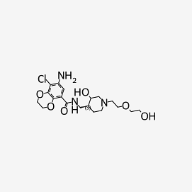 Nc1cc(C(=O)NC[C@@H]2CCN(CCOCCO)CC2O)c2c(c1Cl)OCCO2